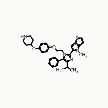 CC(C)c1nc(-c2cc3sccc3n2C)n(CCOc2ccc(OC3CCNCC3)cc2)c1-c1ccccc1